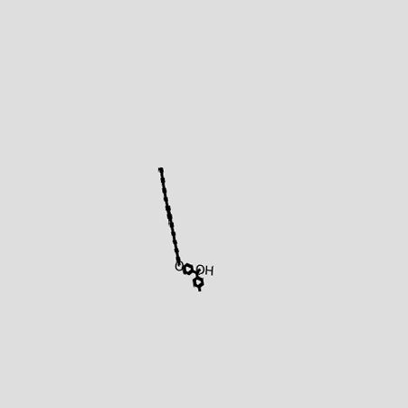 C#CC#CC#CC#CC#CC#CC#CC#CC#CC#CC#COc1ccc(C(O)c2ccc(C)cc2)cc1